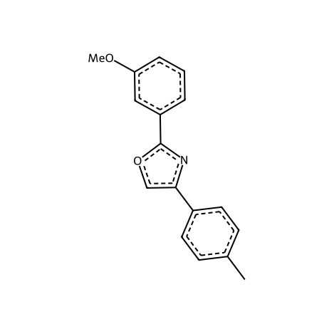 COc1cccc(-c2nc(-c3ccc(C)cc3)co2)c1